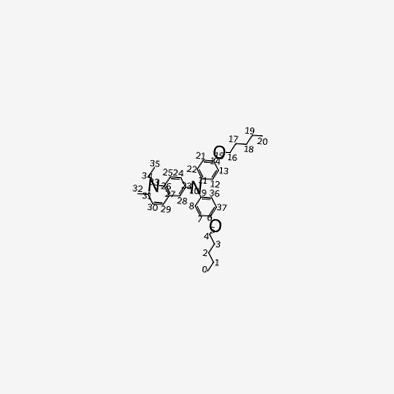 CCCCCOc1ccc(N(c2ccc(OCCCCC)cc2)c2ccc3c(c2)C=CC(C)N3CC)cc1